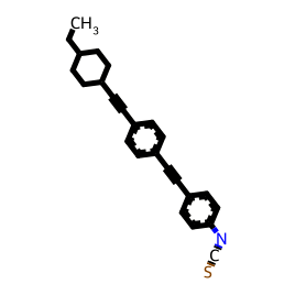 CCC1CCC(C#Cc2ccc(C#Cc3ccc(N=C=S)cc3)cc2)CC1